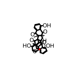 CC1=C(C23C(=O)c4c(O)cccc4C(=O)[C@@H]2C[C@@]2(C)C(=O)c4c(O)cccc4C(=O)[C@@]32C)C(=O)c2c(O)cccc2C1=O